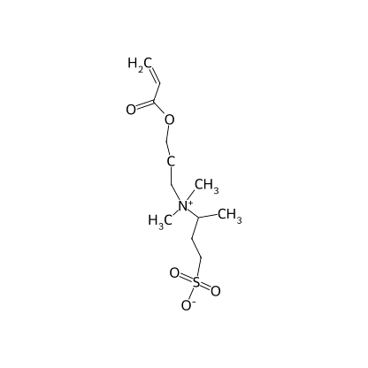 C=CC(=O)OCCC[N+](C)(C)C(C)CCS(=O)(=O)[O-]